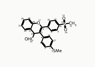 CSc1ccc(C2=C(c3ccc(S(C)(=O)=O)cc3)Oc3ccccc3C2C=O)cc1